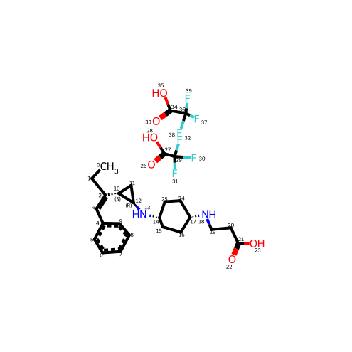 CCC(=Cc1ccccc1)[C@@H]1C[C@H]1N[C@H]1CC[C@@H](NCCC(=O)O)CC1.O=C(O)C(F)(F)F.O=C(O)C(F)(F)F